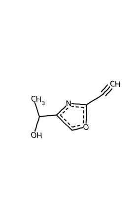 C#Cc1nc(C(C)O)co1